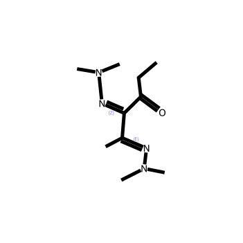 CCC(=O)C(=N\N(C)C)/C(C)=N/N(C)C